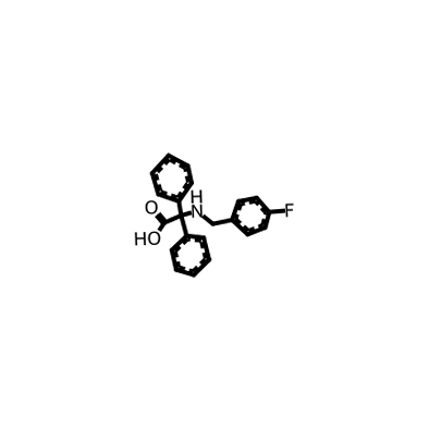 O=C(O)C(NCc1ccc(F)cc1)(c1ccccc1)c1ccccc1